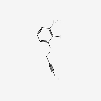 CCC#CCOc1cccc(NC)c1F